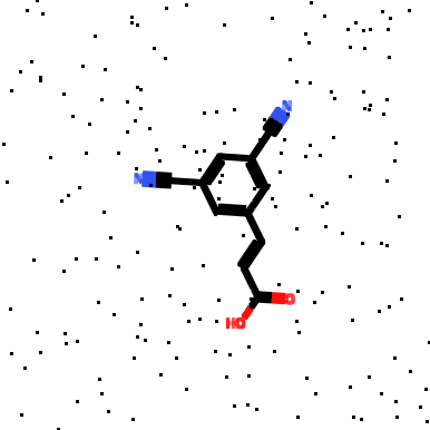 N#Cc1cc(C#N)cc(C=CC(=O)O)c1